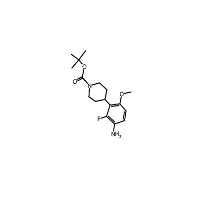 COc1ccc(N)c(F)c1C1CCN(C(=O)OC(C)(C)C)CC1